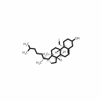 CC(C)CCC[C@@H](C)[C@H]1CC[C@H]2[C@@H]3CC=C4CC(O)CC[C@]4(CI)[C@H]3CC[C@]12C